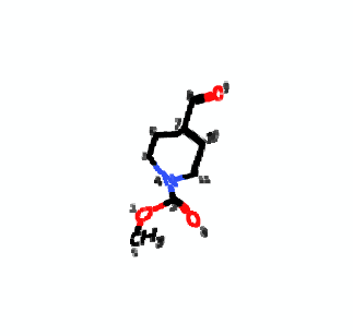 COC(=O)N1CCC(C=O)CC1